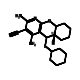 C#Cc1c(N)nc2c(c1N)C(SC1CCCCC1)[C@H]1CCCCC1O2